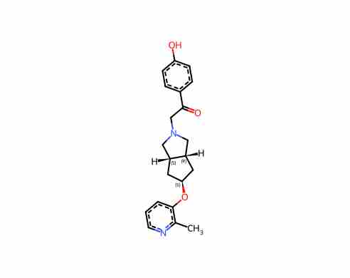 Cc1ncccc1O[C@H]1C[C@@H]2CN(CC(=O)c3ccc(O)cc3)C[C@@H]2C1